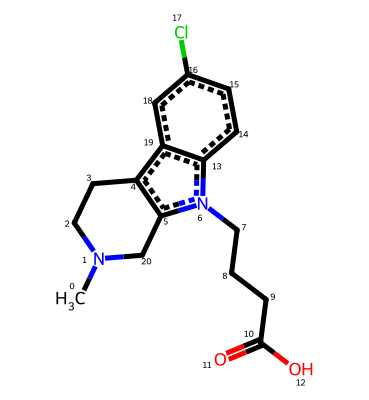 CN1CCc2c(n(CCCC(=O)O)c3ccc(Cl)cc23)C1